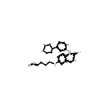 O=S=CCCCOc1ccc2[nH]c(=O)ccc2c1.c1ccc(C2CCCCC2)cc1